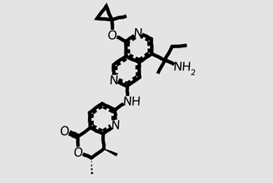 CCC(C)(N)c1cnc(OC2(C)CC2)c2cnc(Nc3ccc4c(n3)[C@@H](C)[C@H](C)OC4=O)cc12